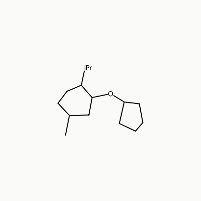 CC1CCC(C(C)C)C(OC2CCCC2)C1